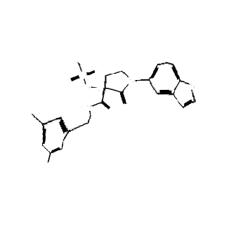 CS(=O)(=O)O[C@@]1(C(=O)NCc2cc(F)cc(F)c2)CCN(c2ccc3[nH]ccc3c2)C1=O